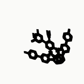 Cc1ccc(-c2ccc3c4ccccc4n(-c4cc(C#N)c(-c5cc(C)nc(C)c5)cc4-n4c5ccccc5c5ccc(-c6ccc(C)cc6)cc54)c3c2)cc1